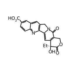 CC[C@@]1(O)C(=O)OCc2c1cc1n(c2=O)Cc2cc3cc(C(=O)O)ccc3nc2-1